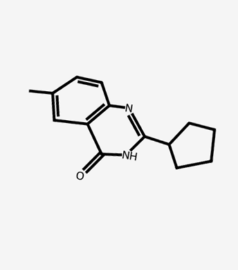 Cc1ccc2nc(C3CCCC3)[nH]c(=O)c2c1